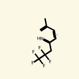 C=C(C)/C=C\C(=N)CC(F)(F)C(F)(F)F